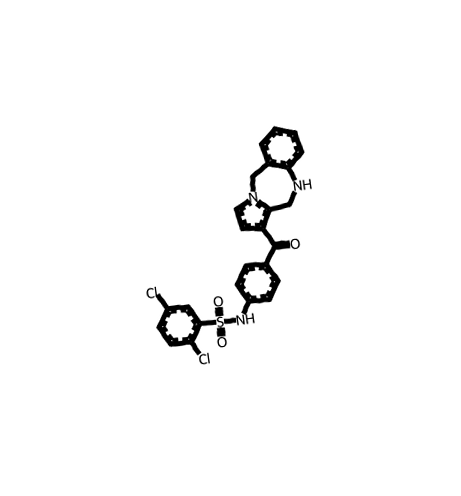 O=C(c1ccc(NS(=O)(=O)c2cc(Cl)ccc2Cl)cc1)c1ccn2c1CNc1ccccc1C2